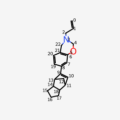 C=CCN1COc2cc(C3=CC4CC3C3CCCC43)ccc2C1